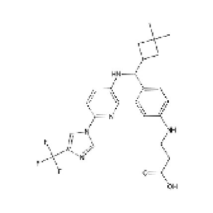 CC1(C)CC(C(Nc2ccc(-n3cnc(C(F)(F)F)c3)nc2)c2ccc(NCCC(=O)O)cc2)C1